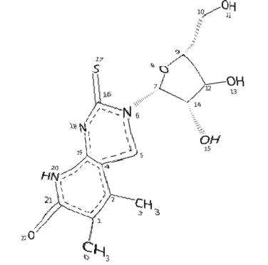 Cc1c(C)c2cn([C@@H]3O[C@H](CO)C(O)[C@@H]3O)c(=S)nc2[nH]c1=O